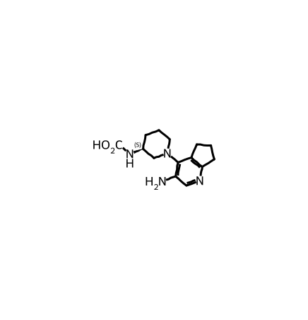 Nc1cnc2c(c1N1CCC[C@H](NC(=O)O)C1)CCC2